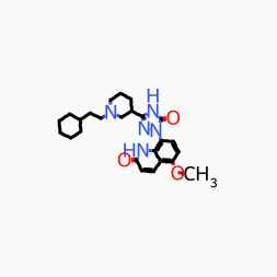 COc1ccc(-n2nc(C3CCCN(CCC4CCCCC4)C3)[nH]c2=O)c2[nH]c(=O)ccc12